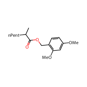 CCCCCC(C)C(=O)OCc1ccc(OC)cc1OC